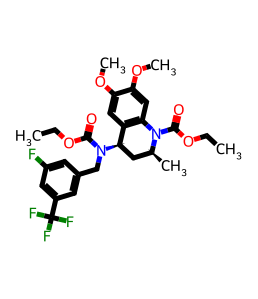 CCOC(=O)N(Cc1cc(F)cc(C(F)(F)F)c1)[C@@H]1C[C@H](C)N(C(=O)OCC)c2cc(OC)c(OC)cc21